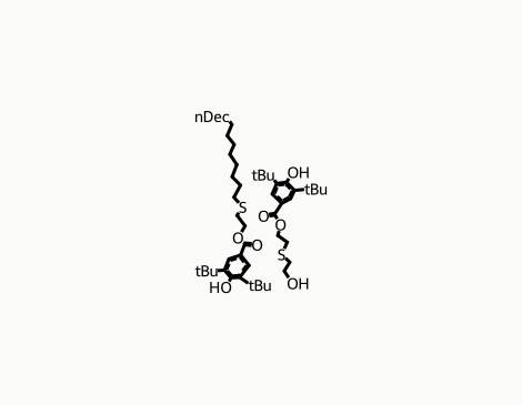 CC(C)(C)c1cc(C(=O)OCCSCCO)cc(C(C)(C)C)c1O.CCCCCCCCCCCCCCCCCCSCCOC(=O)c1cc(C(C)(C)C)c(O)c(C(C)(C)C)c1